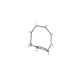 C1CCN=NOCC1